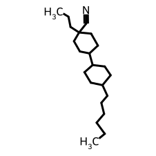 CCCCCCC1CCC(C2CCC(C#N)(CCC)CC2)CC1